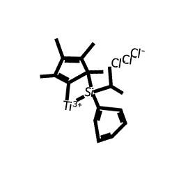 CC1=C(C)C(C)([Si](C)(c2ccccc2)C(C)C)[C]([Ti+3])=C1C.[Cl-].[Cl-].[Cl-]